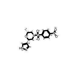 C[C@@H]1CN(S(=O)(=O)c2ccc([N+](=O)[O-])cc2)C[C@H](c2cn[nH]c2)O1